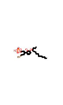 CCCCCCCCCCC(CCC)OC1=CC=CC(C(CCBr)CCOP(=O)(O)O)C1=O